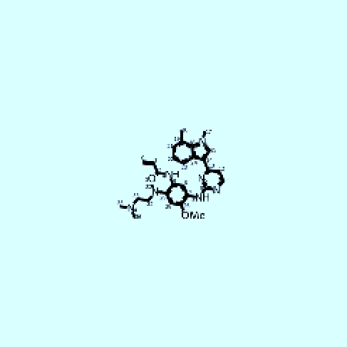 C=CC(=O)Nc1cc(Nc2nccc(-c3cn(C)c4c(C)cccc34)n2)c(OC)cc1N(C)CCN(C)C